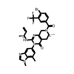 C=C[C@H](C)Nc1nc2c(c(=O)n1-c1cc(C)c3c(c1)ncn3C)C[C@@H](C)N(C(=O)c1ccc(Br)c(C(F)(F)F)c1)C2